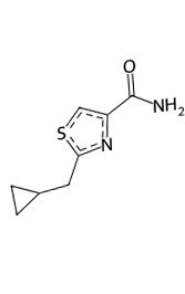 NC(=O)c1csc(CC2CC2)n1